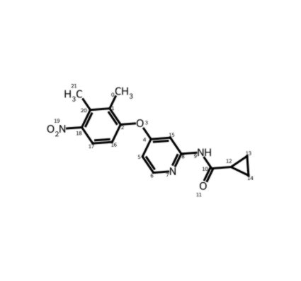 Cc1c(Oc2ccnc(NC(=O)C3CC3)c2)ccc([N+](=O)[O-])c1C